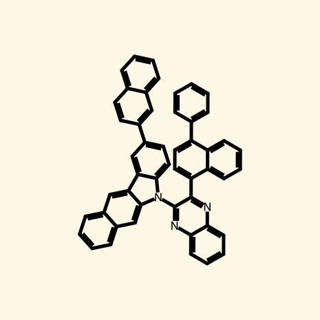 c1ccc(-c2ccc(-c3nc4ccccc4nc3-n3c4ccc(-c5ccc6ccccc6c5)cc4c4cc5ccccc5cc43)c3ccccc23)cc1